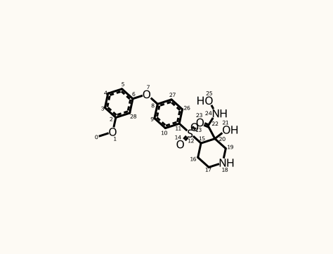 COc1cccc(Oc2ccc(S(=O)(=O)C3CCNCC3(O)C(=O)NO)cc2)c1